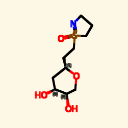 O=S1(CC[C@@H]2C[C@H](O)[C@H](O)CO2)=NCCC1